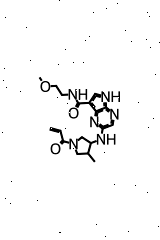 C=CC(=O)N1CC(C)C(Nc2cnc3[nH]cc(C(=O)NCCOC)c3n2)C1